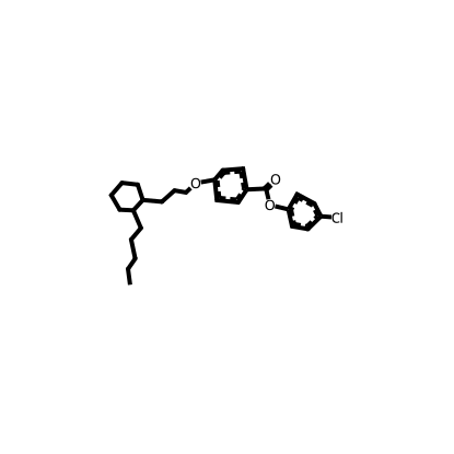 CCCCCC1CCCCC1CCCOc1ccc(C(=O)Oc2ccc(Cl)cc2)cc1